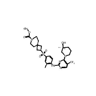 Cc1cc(S(=O)(=O)C2CC3(CCN(C(=O)OC(C)(C)C)CC3)C2)ccc1Nc1ncc(C(F)(F)F)c(N2CCC[C@](C)(O)C2)n1